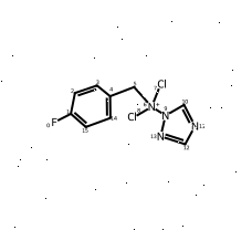 Fc1ccc(C[N+](Cl)(Cl)n2cncn2)cc1